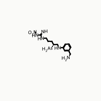 N=C(NCCC[C@H]([AsH2])CNc1cccc(CN)c1)N[N+](=O)[O-]